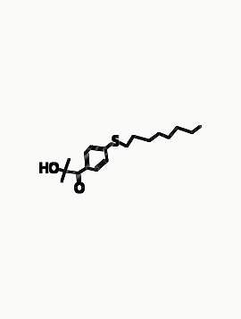 CCCCCCCCSc1ccc(C(=O)C(C)(C)O)cc1